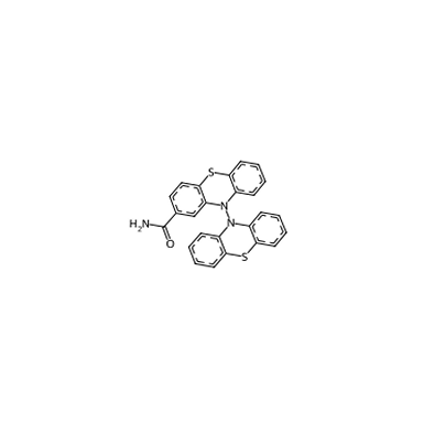 NC(=O)c1ccc2c(c1)N(N1c3ccccc3Sc3ccccc31)c1ccccc1S2